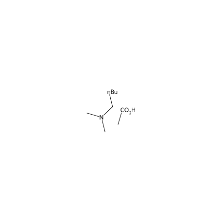 CC(=O)O.CCCCCN(C)C